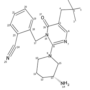 CC(C)(C)Cc1cnc(N2CCC[C@@H](N)C2)n(Cc2ccccc2C#N)c1=O